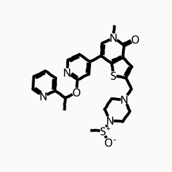 CC(Oc1cc(-c2cn(C)c(=O)c3cc(CN4CCN([S+](C)[O-])CC4)sc23)ccn1)c1ccccn1